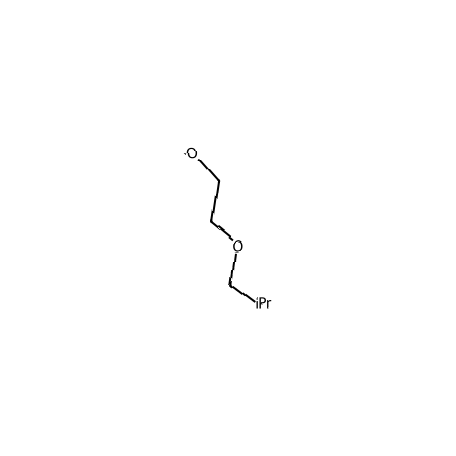 CC(C)COCC[O]